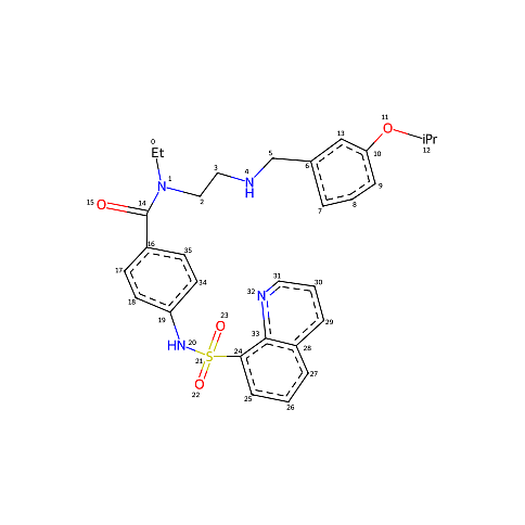 CCN(CCNCc1cccc(OC(C)C)c1)C(=O)c1ccc(NS(=O)(=O)c2cccc3cccnc23)cc1